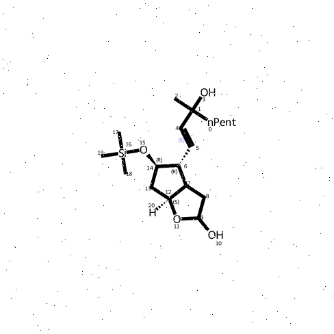 CCCCCC(C)(O)/C=C/[C@@H]1C2CC(O)O[C@H]2C[C@H]1O[Si](C)(C)C